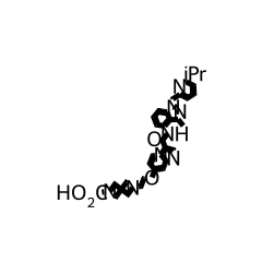 Cc1nn(Cc2cccc(C(C)C)n2)c2cccc(NC(=O)c3cnc4cc(OCCN5CC6(C5)CN(C(=O)O)C6)ccn34)c12